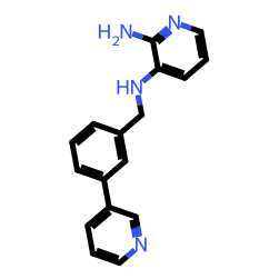 Nc1ncccc1NCc1cccc(-c2cccnc2)c1